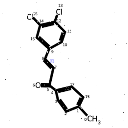 Cc1ccc(C(=O)/C=C/c2ccc(Cl)c(Cl)c2)cc1